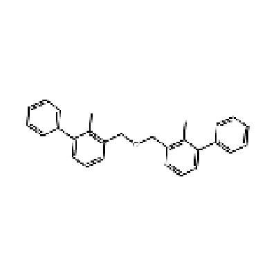 Cc1c(COCc2cccc(-c3ccccc3)c2C)cccc1-c1ccccc1